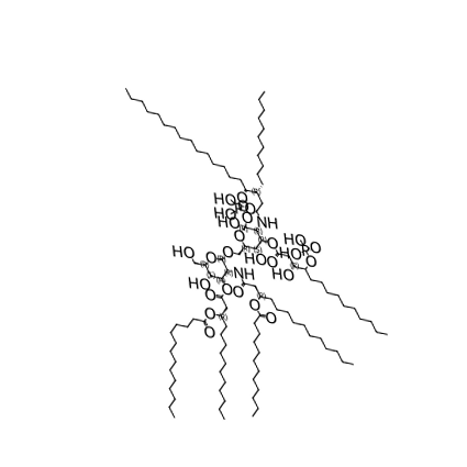 CCCCCCCCCCCCCCCC(=O)[C@H](CCCCCCCCCCC)CC(=O)N[C@@H]1[C@@H](OC(=O)C[C@@H](O)C(CCCCCCCCCC)OP(=O)(O)O)[C@H](O)[C@@H](CO[C@@H]2O[C@H](CO)[C@@H](O)[C@H](OC(=O)C[C@@H](CCCCCCCCCCC)OC(=O)CCCCCCCCCCCCC)[C@H]2NC(=O)C[C@@H](CCCCCCCCCCC)OC(=O)CCCCCCCCCCC)O[C@@]1(O)OP(=O)(O)O